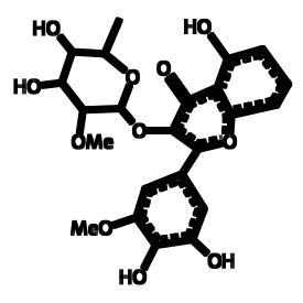 COc1cc(-c2oc3cccc(O)c3c(=O)c2OC2OC(C)C(O)C(O)C2OC)cc(O)c1O